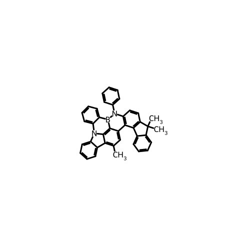 Cc1cc2c3c4c1c1ccccc1n4-c1ccccc1B3N(c1ccccc1)c1ccc3c(c1-2)-c1ccccc1C3(C)C